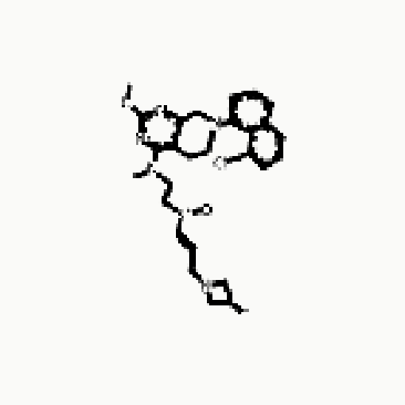 COc1nc2c(c(N(C)CC[S+]([O-])/C=C/CN3CC(F)C3)n1)CCN(c1cccc3cccc(Cl)c13)C2